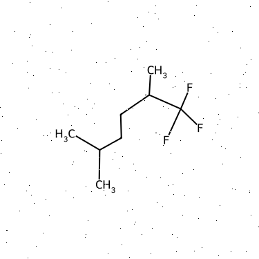 C[C](CCC(C)C)C(F)(F)F